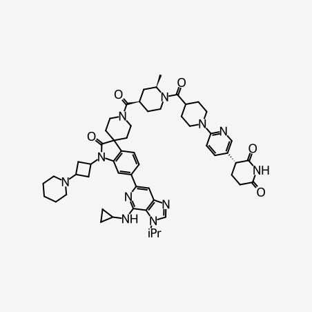 CC(C)n1cnc2cc(-c3ccc4c(c3)N(C3CC(N5CCCCC5)C3)C(=O)C43CCN(C(=O)[C@@H]4CCN(C(=O)C5CCN(c6ccc([C@H]7CCC(=O)NC7=O)cn6)CC5)[C@H](C)C4)CC3)nc(NC3CC3)c21